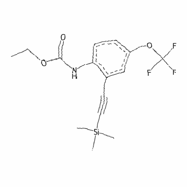 CCOC(=O)Nc1ccc(OC(F)(F)F)cc1C#C[Si](C)(C)C